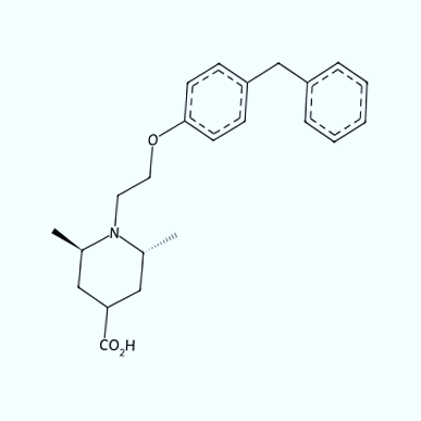 C[C@@H]1CC(C(=O)O)C[C@@H](C)N1CCOc1ccc(Cc2ccccc2)cc1